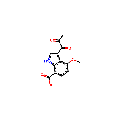 COc1ccc(C(=O)O)c2[nH]cc(C(=O)C(C)=O)c12